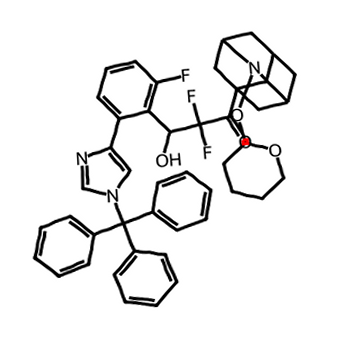 O=C(C12CC3CC(C1)N(OC1CCCCO1)C(C3)C2)C(F)(F)C(O)c1c(F)cccc1-c1cn(C(c2ccccc2)(c2ccccc2)c2ccccc2)cn1